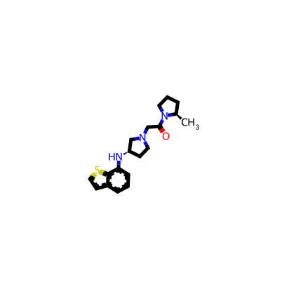 C[C@@H]1CCCN1C(=O)CN1CC[C@H](Nc2cccc3ccsc23)C1